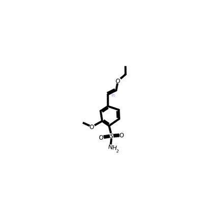 CCO/C=C/c1ccc(S(N)(=O)=O)c(OC)c1